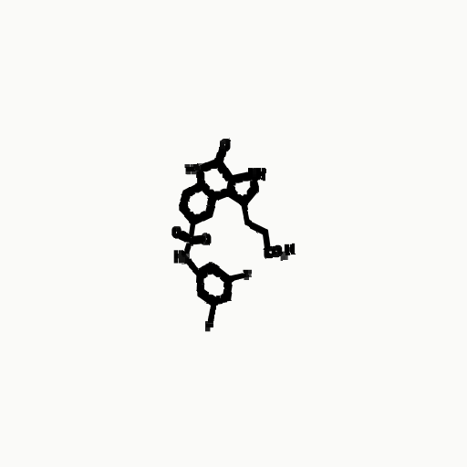 O=C(O)CCc1c[nH]c2c(=O)[nH]c3ccc(S(=O)(=O)Nc4cc(F)cc(F)c4)cc3c12